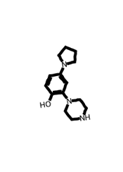 Oc1ccc(N2CCCC2)cc1N1CCNCC1